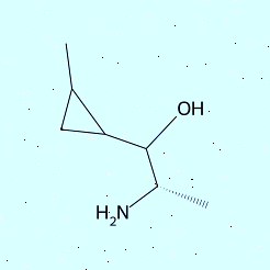 CC1CC1C(O)[C@H](C)N